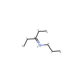 [CH2]CC(CC)=NCCC